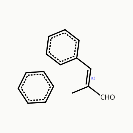 C/C(C=O)=C\c1ccccc1.c1ccccc1